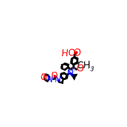 Cc1cc(C(=O)O)ccc1/C(C=O)=C(\c1ccccc1)N(c1ccc2c(c1)CCN2C(=O)CN1CCOCC1)C1CC1